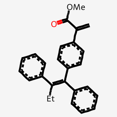 C=C(C(=O)OC)c1ccc(C(=C(CC)c2ccccc2)c2ccccc2)cc1